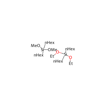 CCCCCC[Si](CCCCCC)(OC)OC.CCCCCC[Si](CCCCCC)(OCC)OCC